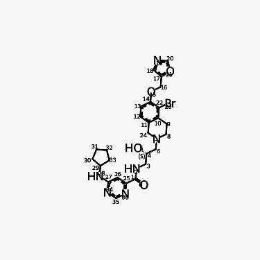 O=C(NC[C@H](O)CN1CCc2c(ccc(OCc3cnco3)c2Br)C1)c1cc(NC2CCCC2)ncn1